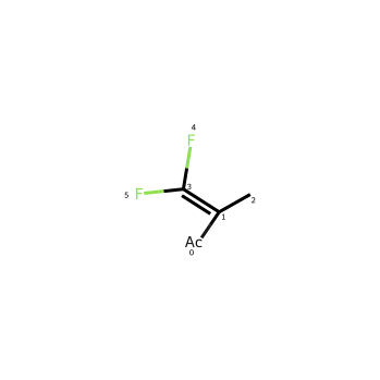 CC(=O)C(C)=C(F)F